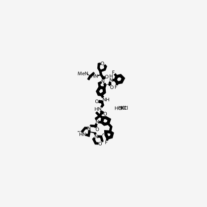 CN[C@@H](C)CN[C@H](C(=O)N1Cc2ccc(NC(=O)CNC(=O)C3(C)CN(C(=O)CN4C[C@@H](C)NC[C@@H]4CN4CCOC[C@H]4C)c4cc(Cc5ccc(F)cc5)ccc43)cc2[C@H]1C(=O)Nc1c(F)cccc1F)C1CCOCC1.Cl.Cl.Cl